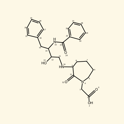 O=C(O)CN1CCCCC(NCC(O)C(Cc2ccccc2)NC(=O)c2ccccc2)C1=O